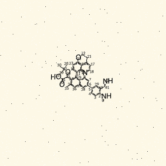 CNc1ccc(-c2ccc3c(-c4ccc5c6c(ccnc46)CCO5)c(C(OC(C)(C)C)C(=O)O)c(C)cc3c2)cc1C=N